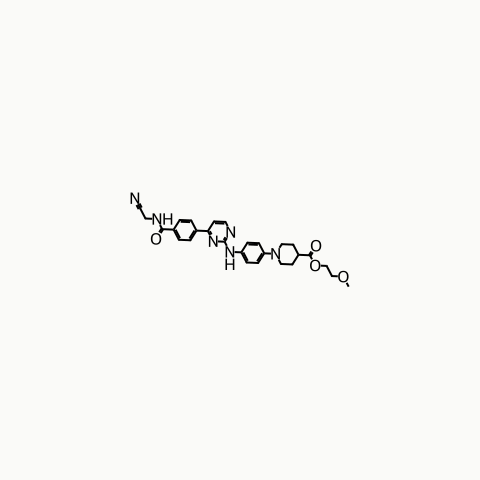 COCCOC(=O)C1CCN(c2ccc(Nc3nccc(-c4ccc(C(=O)NCC#N)cc4)n3)cc2)CC1